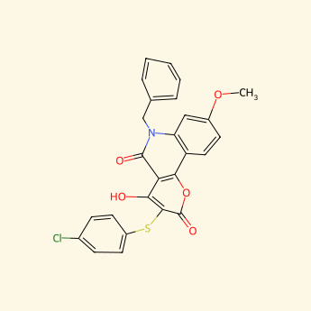 COc1ccc2c3oc(=O)c(Sc4ccc(Cl)cc4)c(O)c3c(=O)n(Cc3ccccc3)c2c1